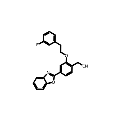 N#CCc1ccc(-c2nc3ccccc3o2)cc1OCCc1cccc(F)c1